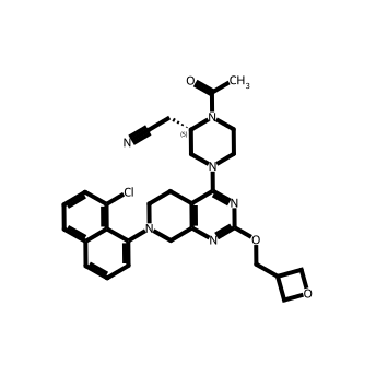 CC(=O)N1CCN(c2nc(OCC3COC3)nc3c2CCN(c2cccc4cccc(Cl)c24)C3)C[C@@H]1CC#N